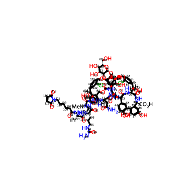 CN[C@H](CC(C)C)C(=O)N[C@H]1C(=O)N[C@@H](CC(N)=O)C(=O)N[C@H]2C(=O)N[C@H]3C(=O)N[C@H](C(=O)N[C@@H](C(=O)O)c4cc(O)cc(O)c4-c4cc3ccc4O)[C@H](O)c3ccc(c(Cl)c3)Oc3cc2cc(c3O[C@H]2O[C@@H](CO)[C@H](O)[C@@H](O)[C@@H]2O[C@H]2C[C@](C)(NC(=O)OCc3ccc(NC(=O)[C@H](CCCNC(N)=O)NC(=O)[C@@H](NC(=O)CCCCCN4C(=O)C=CC4=O)C(C)C)cc3)[C@H](O)[C@H](O)O2)Oc2ccc(cc2Cl)[C@H]1O